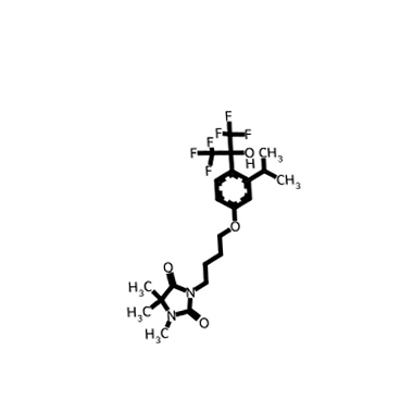 CC(C)c1cc(OCCCCN2C(=O)N(C)C(C)(C)C2=O)ccc1C(O)(C(F)(F)F)C(F)(F)F